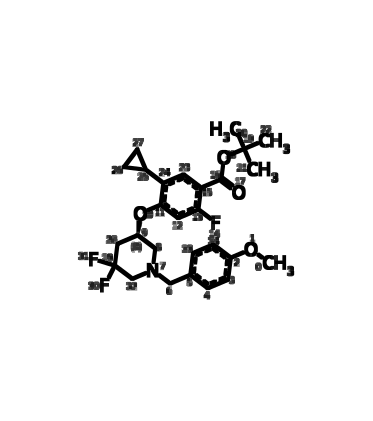 COc1ccc(CN2C[C@H](Oc3cc(F)c(C(=O)OC(C)(C)C)cc3C3CC3)CC(F)(F)C2)cc1